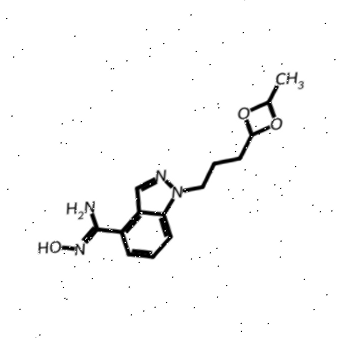 CC1OC(CCCn2ncc3c(/C(N)=N/O)cccc32)O1